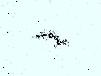 Cc1cc(-c2nc(-c3cc(C)c(OCC(O)CNC(=O)CO)c(C)c3)no2)nc(N(C)C)n1